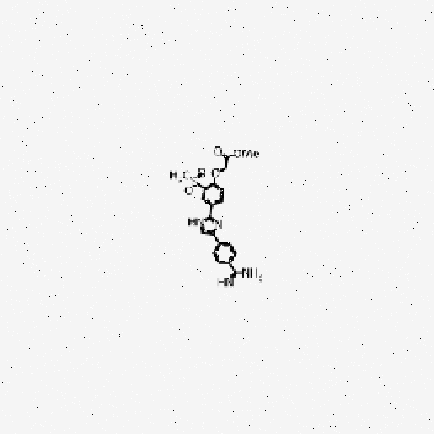 COC(=O)COc1ccc(-c2nc(-c3ccc(C(=N)N)cc3)c[nH]2)cc1S(C)(=O)=O